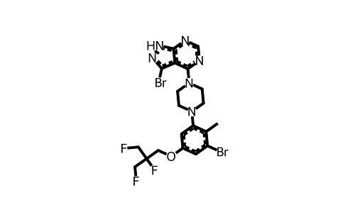 Cc1c(Br)cc(OCC(F)(CF)CF)cc1N1CCN(c2ncnc3[nH]nc(Br)c23)CC1